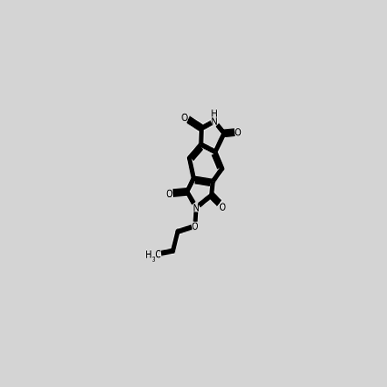 CCCOn1c(=O)c2cc3c(=O)[nH]c(=O)c3cc2c1=O